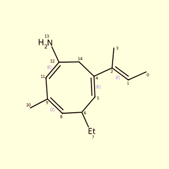 C/C=C(C)/C1=C/C(CC)/C=C(C)\C=C(\N)C1